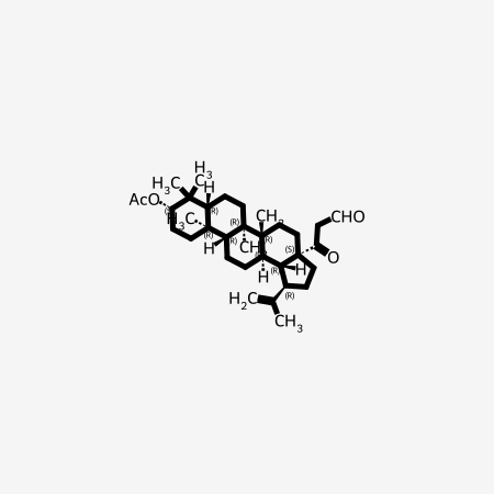 C=C(C)[C@@H]1CC[C@]2(C(=O)CC=O)CC[C@]3(C)[C@H](CC[C@@H]4[C@@]5(C)CC[C@H](OC(C)=O)C(C)(C)[C@@H]5CC[C@]43C)[C@@H]12